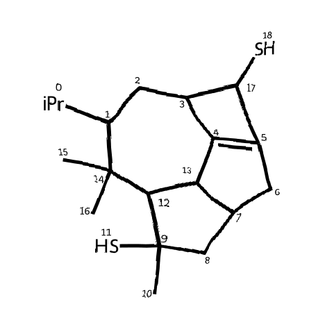 CC(C)C1CC2C3=C(CC4CC(C)(S)C(C34)C1(C)C)C2S